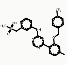 CS(=N)(=O)Cc1cccc(Nc2ncnc(-c3ccc(F)cc3OCc3ccc(C(F)(F)F)cc3)n2)c1